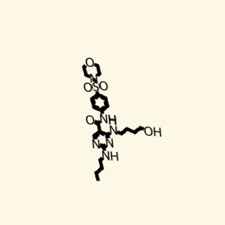 CCCCNc1ncc(C(=O)Nc2ccc(S(=O)(=O)N3CCOCC3)cc2)c(NCCCCO)n1